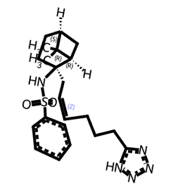 CC1(C)[C@H]2CC[C@](C/C=C\CCCc3nnn[nH]3)(NS(=O)(=O)c3ccccc3)[C@@H]1C2